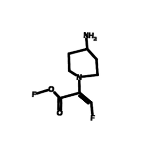 NC1CCN(C(=CF)C(=O)OF)CC1